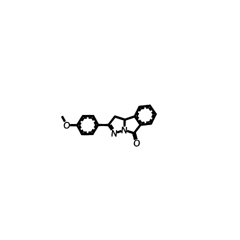 COc1ccc(C2=NN3C(=O)c4ccccc4C3C2)cc1